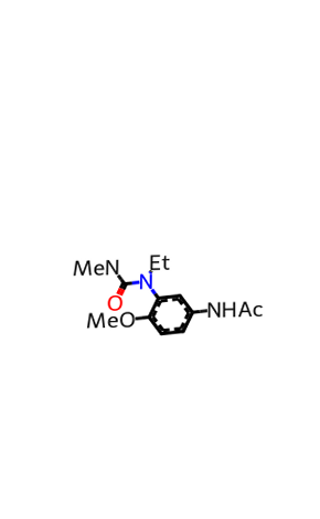 CCN(C(=O)NC)c1cc(NC(C)=O)ccc1OC